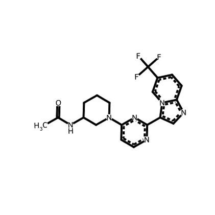 CC(=O)NC1CCCN(c2ccnc(-c3cnc4ccc(C(F)(F)F)cn34)n2)C1